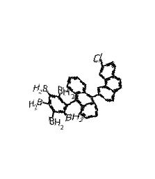 Bc1c(B)c(B)c(-c2c3ccccc3c(-c3ccc4ccc5ccc(Cl)cc5c4c3)c3ccccc23)c(B)c1B